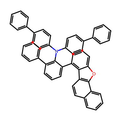 c1ccc(-c2ccc(N(c3ccc(-c4ccccc4)cc3)c3c(-c4ccccc4)cccc3-c3cccc4oc5c6ccccc6ccc5c34)cc2)cc1